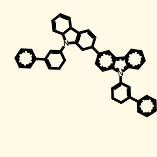 C1=CC2C3=C(CC(c4ccc5c(c4)c4ccccc4n5C4=CCCC(c5ccccc5)=C4)C=C3)N(C3=CC(c4ccccc4)=CCC3)C2C=C1